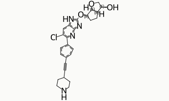 O[C@@H]1CO[C@H]2[C@@H]1CC[C@H]2Oc1nc2nc(-c3ccc(C#CC4CCNCC4)cc3)c(Cl)cc2[nH]1